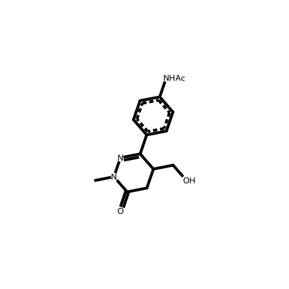 CC(=O)Nc1ccc(C2=NN(C)C(=O)CC2CO)cc1